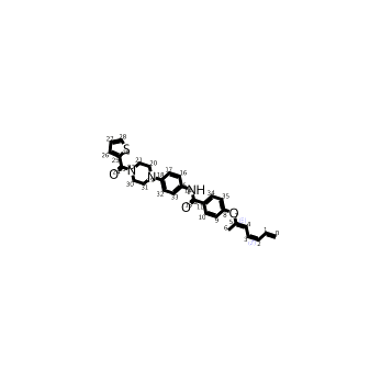 C=C/C=C\C=C(/C)Oc1ccc(C(=O)Nc2ccc(N3CCN(C(=O)c4cccs4)CC3)cc2)cc1